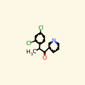 CC(C(=O)c1cccnc1)c1ccc(Cl)cc1Cl